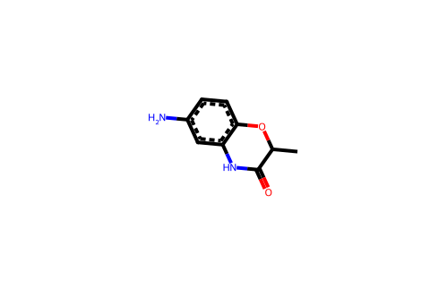 CC1Oc2ccc(N)cc2NC1=O